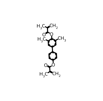 C=C(C)C(=O)Oc1ccc(-c2cc(C)c(OC(=O)C(=C)C)c(C)c2)cc1